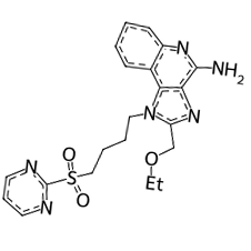 CCOCc1nc2c(N)nc3ccccc3c2n1CCCCS(=O)(=O)c1ncccn1